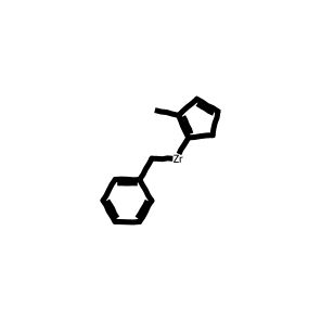 CC1=[C]([Zr][CH2]c2ccccc2)CC=C1